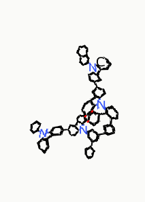 c1ccc(-c2cc(-c3cccc(-c4cccc(-n5c6ccccc6c6cc(-c7ccc8c(c7)c7ccccc7n8-c7ccc8ccccc8c7)ccc65)c4-c4ccccc4)c3)cc(-n3c4ccccc4c4cc(-c5ccc6c(c5)c5ccccc5n6-c5ccccc5)ccc43)c2)cc1